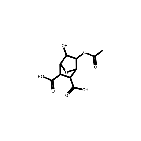 CC(=O)OC1C(O)C2OC1C(C(=O)O)C2C(=O)O